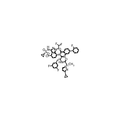 C[C@@H](C(=O)N[C@@H](Cc1cc(F)cc(F)c1)c1nc2cc(-c3ccccc3F)ccc2c(=O)n1-c1ccc(Cl)c2c(NS(=O)(=O)C3CC3)nn(CC(F)F)c12)n1ccc(C2CC2)n1